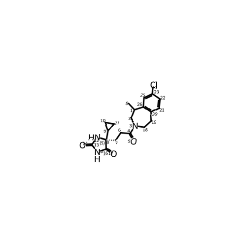 CC1CN(C(=O)CC[C@@]2(C3CC3)NC(=O)NC2=O)CCc2ccc(Cl)cc21